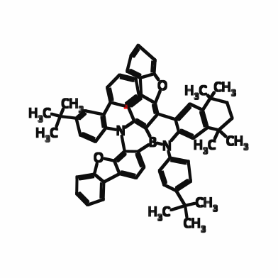 CC(C)(C)c1ccc(N2B3c4ccc5c(oc6ccccc65)c4N(c4ccc(C(C)(C)C)cc4-c4ccccc4)c4cc5c(oc6ccccc65)c(c43)-c3cc4c(cc32)C(C)(C)CCC4(C)C)cc1